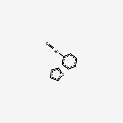 C=O.Oc1ccccc1.c1ccoc1